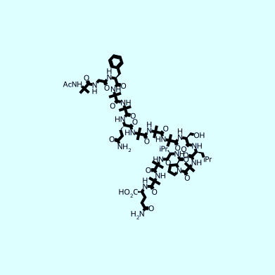 CC(=O)NC(C)(C)C(=O)NCC(=O)N[C@@H](Cc1ccccc1)C(=O)NC(C)(C)C(=O)NC(C)(C)C(=O)N[C@@H](CCC(N)=O)C(=O)NC(C)(C)C(=O)NC(C)(C)C(=O)NC(C)(C)C(=O)N[C@@H](CO)C(=O)N[C@@H](CC(C)C)C(=O)NC(C)(C)C(=O)N1CCC[C@H]1C(=O)N[C@H](C(=O)NC(C)(C)C(=O)NC(C)(C)C(=O)N[C@@H](CCC(N)=O)C(=O)O)C(C)C